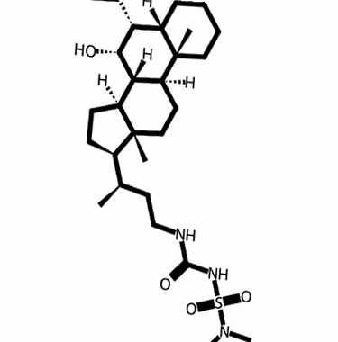 CC[C@H]1[C@@H](O)[C@@H]2[C@H](CC[C@]3(C)[C@@H]([C@H](C)CCNC(=O)NS(=O)(=O)N(C)C)CC[C@@H]23)[C@@]2(C)CCCC[C@@H]12